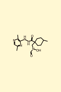 Cc1cnc(C)c(NNC(=O)C2(CN(O)C=O)CCC(C)CC2)n1